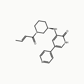 CC=CC(=O)N1CCC[C@@H](Nc2cc(-c3ccncc3)c[nH]c2=O)C1